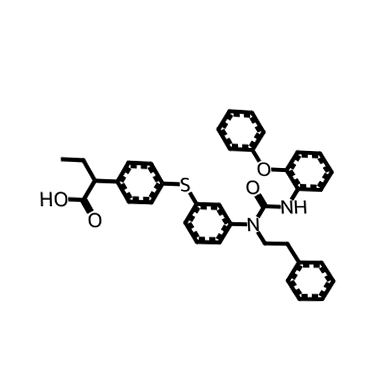 CCC(C(=O)O)c1ccc(Sc2cccc(N(CCc3ccccc3)C(=O)Nc3ccccc3Oc3ccccc3)c2)cc1